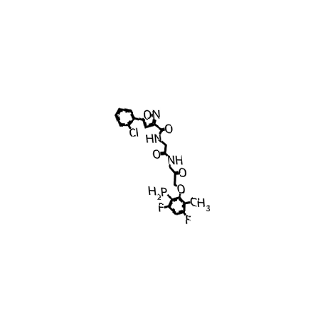 Cc1c(F)cc(F)c(P)c1OCC(=O)CNC(=O)CNC(=O)c1cc(-c2ccccc2Cl)on1